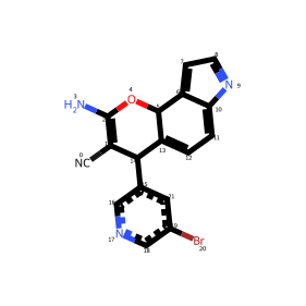 N#CC1=C(N)OC2C3=CC=NC3=CC=C2C1c1cncc(Br)c1